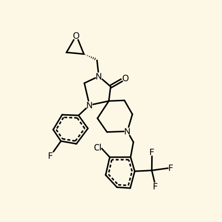 O=C1N(C[C@@H]2CO2)CN(c2ccc(F)cc2)C12CCN(Cc1c(Cl)cccc1C(F)(F)F)CC2